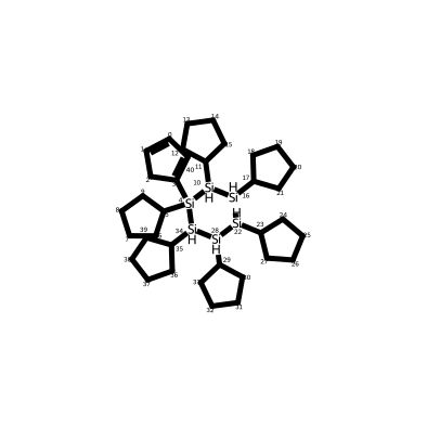 C1=CCC([Si]2(C3CCCC3)[SiH](C3CCCC3)[SiH](C3CCCC3)[SiH](C3CCCC3)[SiH](C3CCCC3)[SiH]2C2CCCC2)=C1